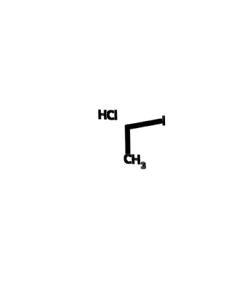 CCI.Cl